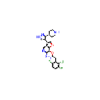 Nc1ncc2c(-c3c[nH]nc3C3CCNCC3)coc2c1OCCc1c(F)ccc(F)c1Cl